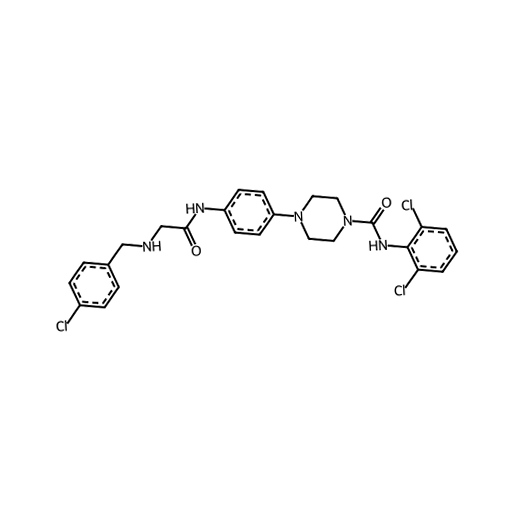 O=C(CNCc1ccc(Cl)cc1)Nc1ccc(N2CCN(C(=O)Nc3c(Cl)cccc3Cl)CC2)cc1